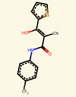 N#CC(C(=O)Nc1ccc(C(F)(F)F)cc1)=C(O)c1cccs1